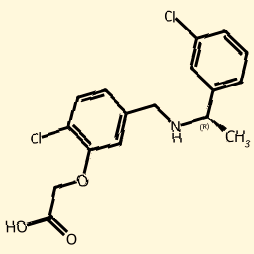 C[C@@H](NCc1ccc(Cl)c(OCC(=O)O)c1)c1cccc(Cl)c1